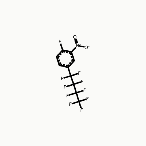 O=[N+]([O-])c1cc(C(F)(F)C(F)(F)C(F)(F)C(F)(F)F)ccc1F